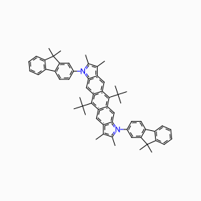 Cc1c(C)n(-c2ccc3c(c2)C(C)(C)c2ccccc2-3)c2cc3c(C(C)(C)C)c4cc5c(C)c(C)n(-c6ccc7c(c6)C(C)(C)c6ccccc6-7)c5cc4c(C(C)(C)C)c3cc12